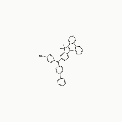 CC(C)(C)c1ccc(N(c2ccc(-c3ccccc3)cc2)c2ccc3c(c2)C(C)(C)c2c-3c3ccccc3c3ccccc23)cc1